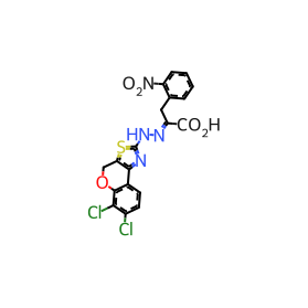 O=C(O)C(Cc1ccccc1[N+](=O)[O-])=NNc1nc2c(s1)COc1c-2ccc(Cl)c1Cl